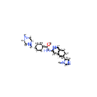 CN1CCN(C[C@H]2CC[C@H](C(=O)Nc3cc4cc(-c5cncn5C)ccc4cn3)CC2)CC1